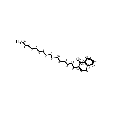 CCCCCCCCCCCCCCCCC1=CCc2ccccc2C1=O